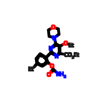 CCOC(=O)c1nc(-c2ccc(CC)cc2OC(N)=O)nc(N2CCOCC2)c1OCC